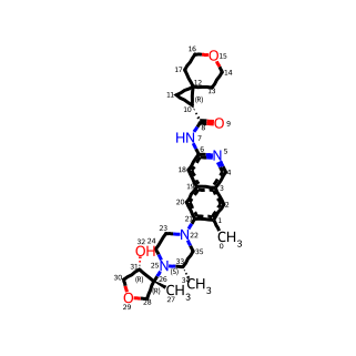 Cc1cc2cnc(NC(=O)[C@@H]3CC34CCOCC4)cc2cc1N1CCN([C@]2(C)COC[C@@H]2O)[C@@H](C)C1